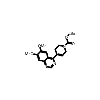 COc1cc2ncnc(C3=CCN(C(=O)OC(C)(C)C)CC3)c2cc1OC